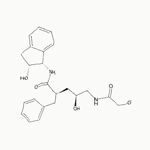 O=C(CCl)NC[C@@H](O)C[C@@H](Cc1ccccc1)C(=O)N[C@H]1c2ccccc2C[C@H]1O